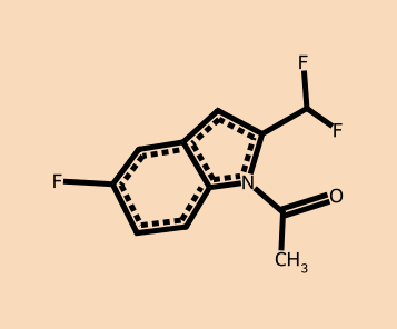 CC(=O)n1c(C(F)F)cc2cc(F)ccc21